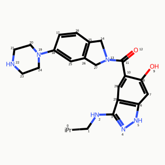 CC(C)CNc1n[nH]c2cc(O)c(C(=O)N3Cc4ccc(N5CCNCC5)cc4C3)cc12